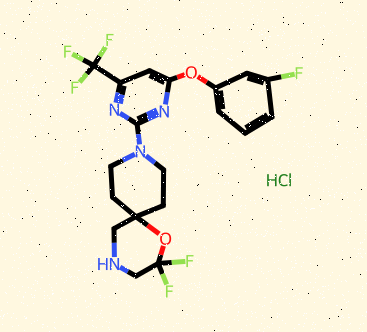 Cl.Fc1cccc(Oc2cc(C(F)(F)F)nc(N3CCC4(CC3)CNCC(F)(F)O4)n2)c1